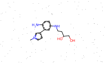 Cn1ccc(-c2cc(NCCC(O)CO)ccc2N)c1